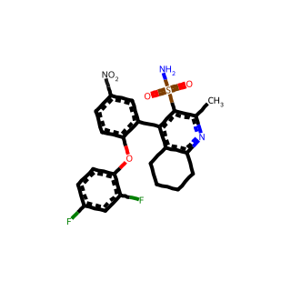 Cc1nc2c(c(-c3cc([N+](=O)[O-])ccc3Oc3ccc(F)cc3F)c1S(N)(=O)=O)CCCC2